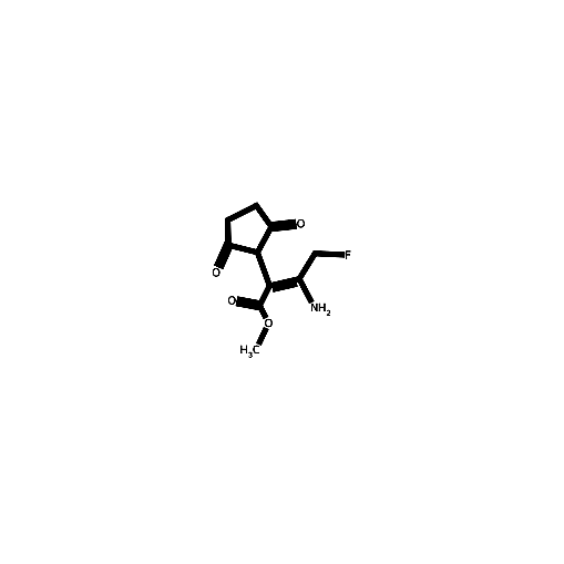 COC(=O)/C(=C(\N)CF)C1C(=O)CCC1=O